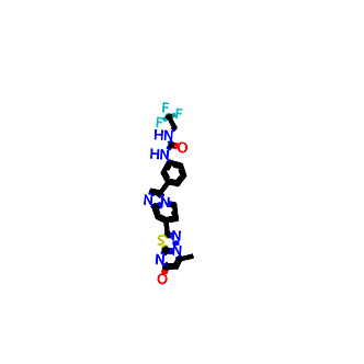 Cc1cc(=O)nc2sc(-c3ccn4c(-c5cccc(NC(=O)NCC(F)(F)F)c5)cnc4c3)nn12